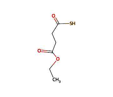 CCOC(=O)CCC(=O)S